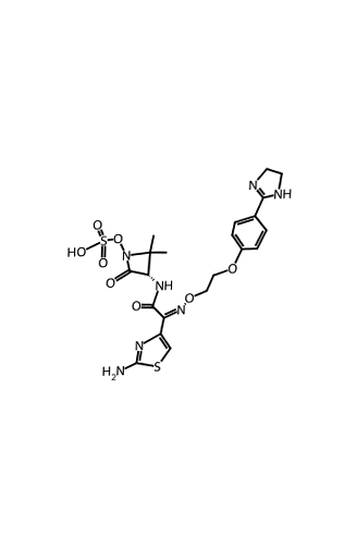 CC1(C)[C@H](NC(=O)C(=NOCCOc2ccc(C3=NCCN3)cc2)c2csc(N)n2)C(=O)N1OS(=O)(=O)O